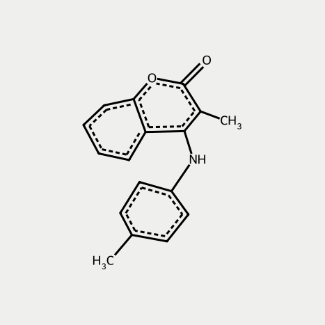 Cc1ccc(Nc2c(C)c(=O)oc3ccccc23)cc1